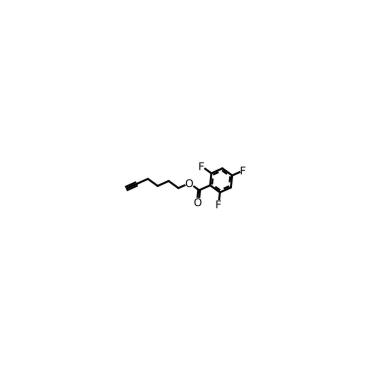 C#CCCCCOC(=O)c1c(F)cc(F)cc1F